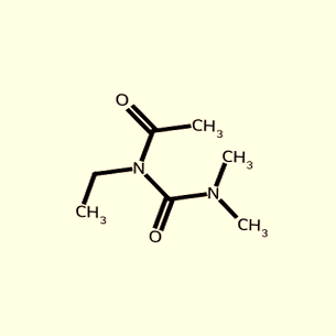 CCN(C(C)=O)C(=O)N(C)C